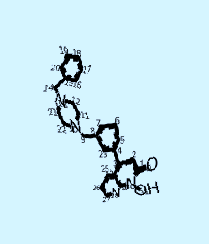 O=c1cc(-c2cccc(CN3CCN(Cc4ccccc4)CC3)c2)c2cccnc2n1O